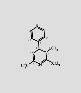 CN1C(C(Cl)(Cl)Cl)=NC(C(Cl)(Cl)Cl)=NC1c1ccccc1